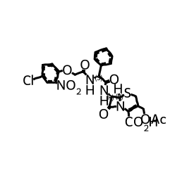 CC(=O)OCC1=C(C(=O)O)N2C(=O)[C@@H](NC(=O)[C@@H](NC(=O)COc3ccc(Cl)cc3[N+](=O)[O-])c3ccccc3)[C@H]2SC1